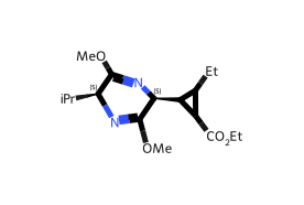 CCOC(=O)C1C(CC)C1[C@@H]1N=C(OC)[C@H](C(C)C)N=C1OC